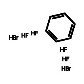 Br.Br.F.F.F.F.c1ccccc1